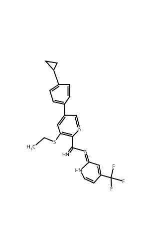 CCSc1cc(-c2ccc(C3CC3)cc2)cnc1C(=N)/N=c1/cc(C(F)(F)F)cc[nH]1